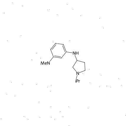 CNc1cccc(NC2CCN(C(C)C)C2)c1